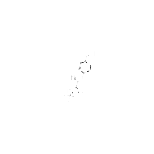 CCC(C)(C)NC(=O)C(N)Cc1ccc(O)cc1